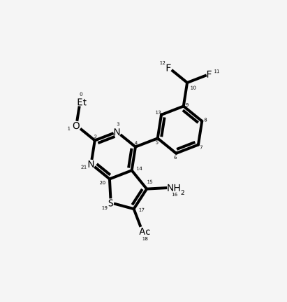 CCOc1nc(-c2cccc(C(F)F)c2)c2c(N)c(C(C)=O)sc2n1